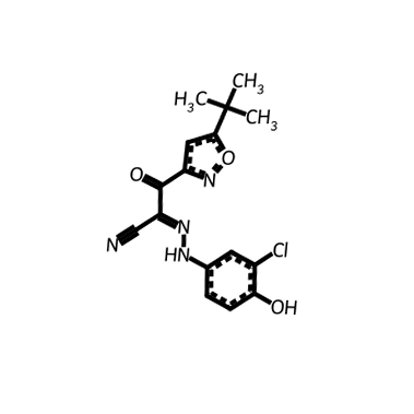 CC(C)(C)c1cc(C(=O)/C(C#N)=N/Nc2ccc(O)c(Cl)c2)no1